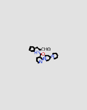 O=CC(Cc1ccccc1)NC(=O)c1cccnc1N1CCC(N2CCCCC2)CC1